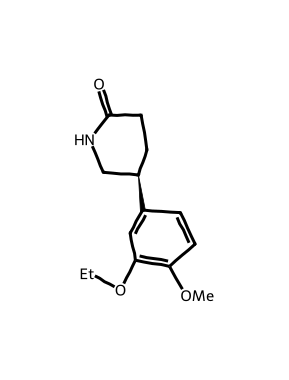 CCOc1cc([C@@H]2CCC(=O)NC2)ccc1OC